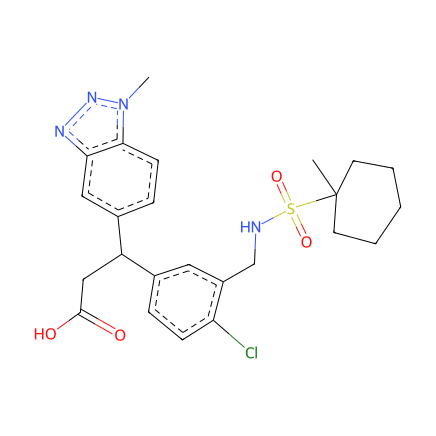 Cn1nnc2cc(C(CC(=O)O)c3ccc(Cl)c(CNS(=O)(=O)C4(C)CCCCC4)c3)ccc21